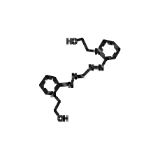 OCCn1cccc\c1=N/N=C/N=N/c1cccc[n+]1CCO